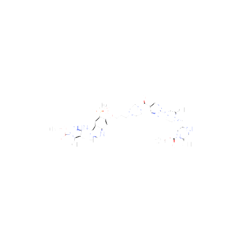 Cc1c(Nc2ncnc3cc(OCCCN4CCN(C(=O)c5cnc(N6CCN(C[C@H]7CN(C(=O)OC(C)(C)C)[C@@H](C)CN7)[C@H](C)C6)nc5)CC4)c(S(=O)(=O)C(C)(C)C)cc23)nn(C(=O)OC(C)(C)C)c1C